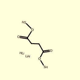 O=C(CCC(=O)OS)OS.[LiH].[LiH]